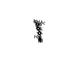 CC(=O)NC[C@H]1CN(c2ccc(-c3ccc(CNn4cnnc4)cc3)c(F)c2)C(=O)O1